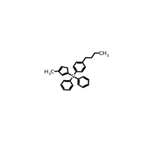 CCCCc1ccc([Si](C2=CC(C)=CC2)(c2ccccc2)c2ccccc2)cc1